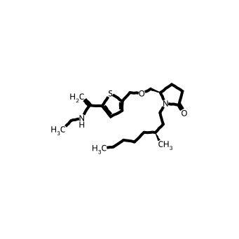 C=C(NCC)c1ccc(COC[C@H]2CCC(=O)N2CC[C@@H](C)CCCCC)s1